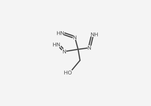 N=NC(CO)(N=N)N=N